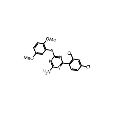 COc1ccc(OC)c(Sc2nc(N)nc(-c3ccc(Cl)cc3Cl)n2)c1